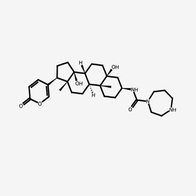 C[C@]12CC[C@H](NC(=O)N3CCCNCC3)C[C@@]1(O)CC[C@@H]1[C@@H]2CC[C@]2(C)[C@@H](c3ccc(=O)oc3)CC[C@]12O